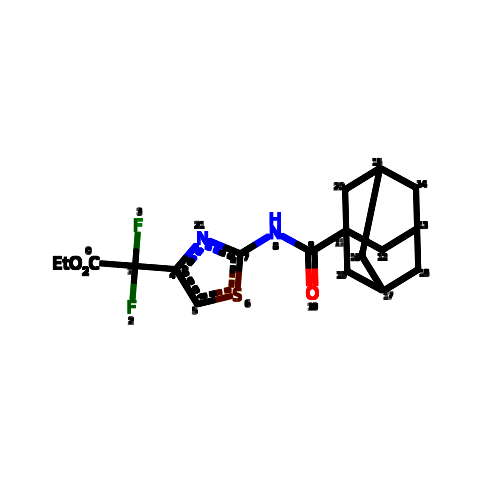 CCOC(=O)C(F)(F)c1csc(NC(=O)C23CC4CC(CC(C4)C2)C3)n1